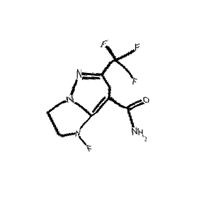 NC(=O)c1c(C(F)(F)F)nn2c1N(F)CC2